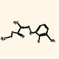 CCOC(=O)C(C)=NNc1cccc(C)c1Br